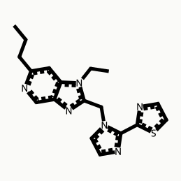 CCCc1cc2c(cn1)nc(Cn1ccnc1-c1nccs1)n2CC